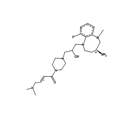 CN(C)C/C=C/C(=O)N1CCN(CC(O)CN2CC[C@H](N)CN(C)c3cccc(F)c32)CC1